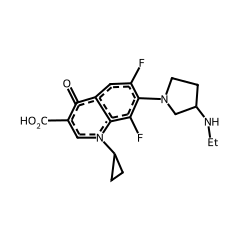 CCNC1CCN(c2c(F)cc3c(=O)c(C(=O)O)cn(C4CC4)c3c2F)C1